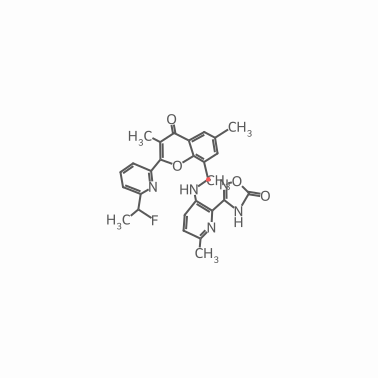 Cc1cc(C(C)Nc2ccc(C)nc2-c2noc(=O)[nH]2)c2oc(-c3cccc(C(C)F)n3)c(C)c(=O)c2c1